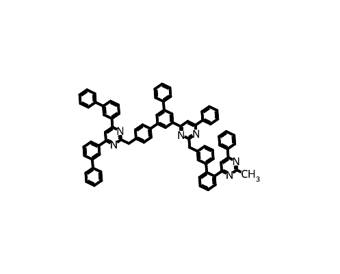 Cc1nc(-c2ccccc2)cc(-c2ccccc2-c2cccc(Cc3nc(-c4ccccc4)cc(-c4cc(-c5ccccc5)cc(-c5ccc(Cc6nc(-c7cccc(-c8ccccc8)c7)cc(-c7cccc(-c8ccccc8)c7)n6)cc5)c4)n3)c2)n1